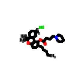 CCCCCc1ccc2c(c1OC(=O)CCCN1CCCCC1)C1C=C(C)CCC1C(C)(C)O2.Cl